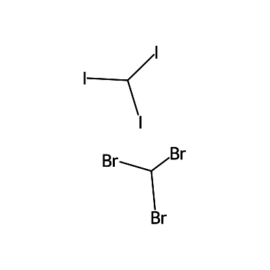 BrC(Br)Br.IC(I)I